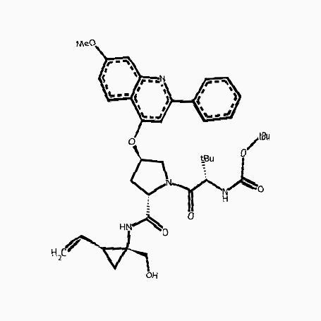 C=C[C@@H]1C[C@@]1(CO)NC(=O)[C@@H]1C[C@@H](Oc2cc(-c3ccccc3)nc3cc(OC)ccc23)CN1C(=O)[C@@H](NC(=O)OC(C)(C)C)C(C)(C)C